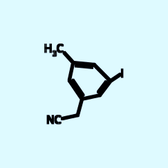 Cc1cc(I)cc(CC#N)c1